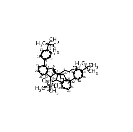 CCCC(C)C1=Cc2c(-c3ccc(C(C)(C)C)cc3)cccc2[CH]1[Zr]([Cl])([Cl])([CH]1C(C)=Cc2c(-c3ccc(C(C)(C)C)cc3)cccc21)[SiH](C)C